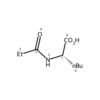 CCCC[C@H](NC(=O)CC)C(=O)O